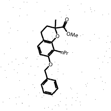 CCCc1c(OCc2ccccc2)ccc2c1OC(C)(C(=O)OC)CC2